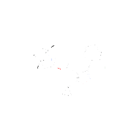 O=C(O[C@@H]1C[C@H]2CC[C@@H](C1)N2)c1c(-c2c(Cl)cccc2Cl)noc1C1(F)CC1